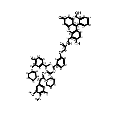 COc1cc([C@@H](C(=O)N2CCCC[C@H]2C(=O)O[C@H](CCc2ccc(C)c(C)c2)c2cccc(OCC(=O)NCc3c(O)ccc4c(-c5ccccc5C(=O)O)c5ccc(=O)cc-5oc34)c2)C2C=CCCC2)cc(C)c1OC